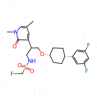 Cc1cc(C(CNS(=O)(=O)CF)CO[C@H]2CC[C@@H](c3cc(F)cc(F)c3)CC2)c(=O)n(C)c1